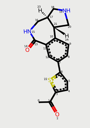 CC(=O)c1ccc(-c2ccc3c(c2)C(=O)NC[C@H]2CNC[C@H]32)s1